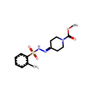 Cc1ccccc1S(=O)(=O)NN=C1CCN(C(=O)OC(C)(C)C)CC1